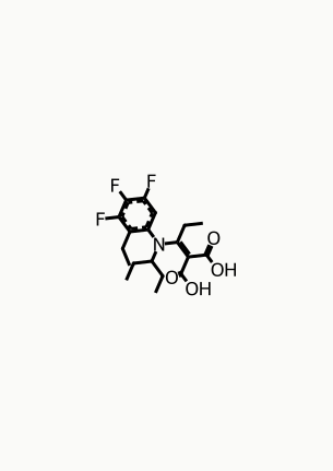 CCC(=C(C(=O)O)C(=O)O)N(c1cc(F)c(F)c(F)c1CC)C(CC)CC